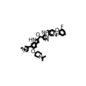 Cc1cc(Oc2c(F)cccc2F)ncc1-n1ncc(C(=O)c2cc3cc(OC4CCN(C(C)C)CC4)c(-c4cnn(C)c4)cc3[nH]2)c1N